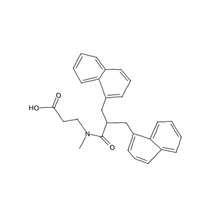 CN(CCC(=O)O)C(=O)C(Cc1cccc2ccccc12)Cc1cccc2ccccc12